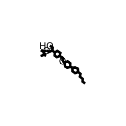 C=C(C)C(=C)OCC(CO)C1CCC(COC2CCC(C3CCC(CCCCC)CC3)CC2)CC1